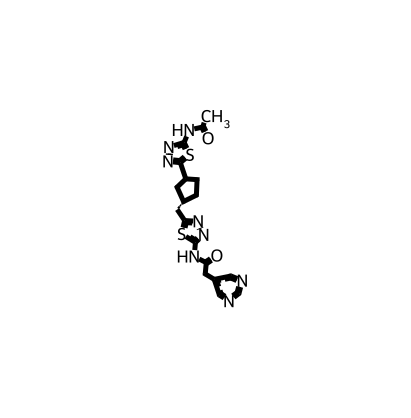 CC(=O)Nc1nnc(C2CC[C@H](Cc3nnc(NC(=O)Cc4cncnc4)s3)C2)s1